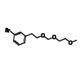 COCCOCOCCc1cccc(Br)c1